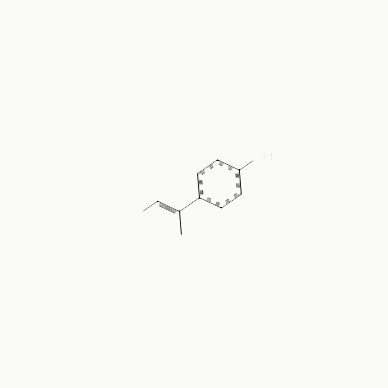 C/C(=C\C=O)c1ccc(O)cc1